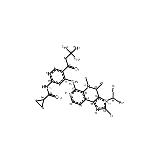 [2H]C([2H])([2H])CC(=O)c1cnc(NC(=O)C2CC2)cc1Nc1nccc2c1N(C)C(C)c1c-2nc(C)n1C(F)F